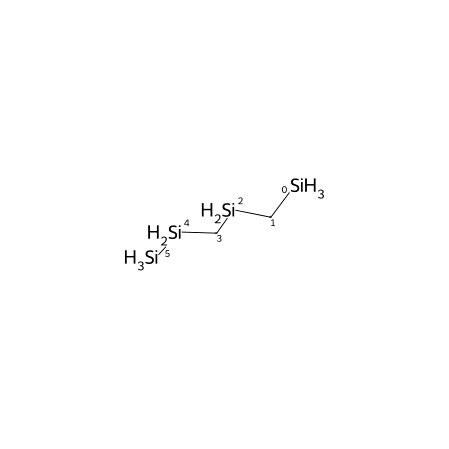 [SiH3]C[SiH2]C[SiH2][SiH3]